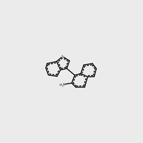 Nc1ccc2ccccc2c1-c1csc2ccccc12